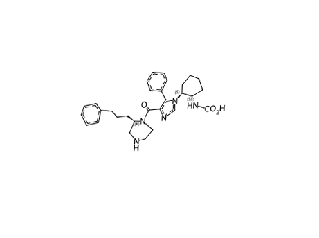 O=C(O)N[C@H]1CCCC[C@@H]1n1cnc(C(=O)N2CCNC[C@H]2CCCc2ccccc2)c1-c1ccccc1